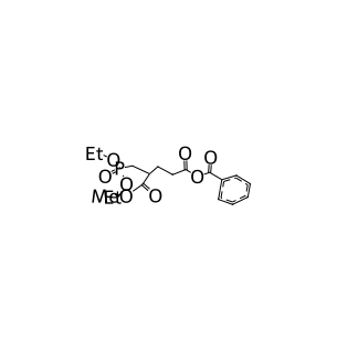 CCOP(=O)(CC(CCC(=O)OC(=O)c1ccccc1)C(=O)OC)OCC